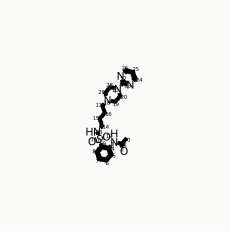 CC(=O)Nc1ccccc1S(=O)(=O)NCCCCN1CCN(c2ncccn2)CC1